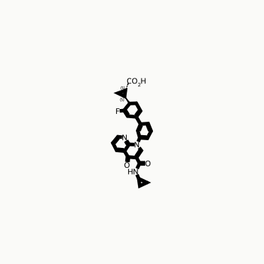 O=C(NC1CC1)c1cn(-c2cccc(C3=CCC([C@H]4C[C@@H]4C(=O)O)C(F)=C3)c2)c2ncccc2c1=O